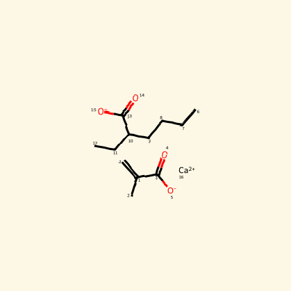 C=C(C)C(=O)[O-].CCCCC(CC)C(=O)[O-].[Ca+2]